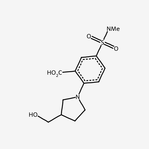 CNS(=O)(=O)c1ccc(N2CCC(CO)C2)c(C(=O)O)c1